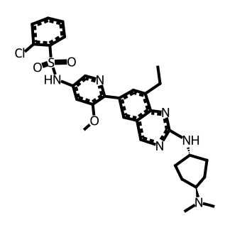 CCc1cc(-c2ncc(NS(=O)(=O)c3ccccc3Cl)cc2OC)cc2cnc(N[C@H]3CC[C@H](N(C)C)CC3)nc12